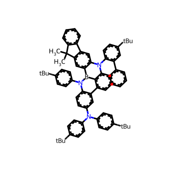 CC(C)(C)c1ccc(N2B3c4cc5c(cc4N(c4ccc(C(C)(C)C)cc4-c4ccccc4)c4cccc(c43)-c3cc(N(c4ccc(C(C)(C)C)cc4)c4ccc(C(C)(C)C)cc4)ccc32)-c2ccccc2C5(C)C)cc1